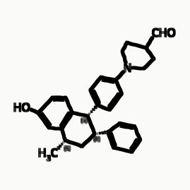 C[C@H]1C[C@@H](c2ccccc2)[C@@H](c2ccc(N3CCC(C=O)CC3)cc2)c2ccc(O)cc21